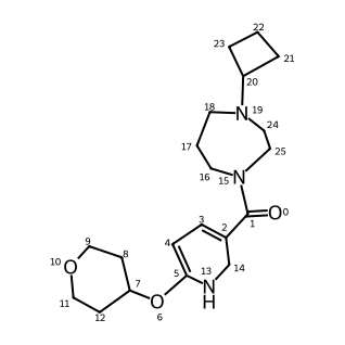 O=C(C1=CC=C(OC2CCOCC2)NC1)N1CCCN(C2CCC2)CC1